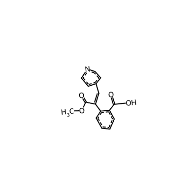 COC(=O)C(=Cc1ccncc1)c1ccccc1C(=O)O